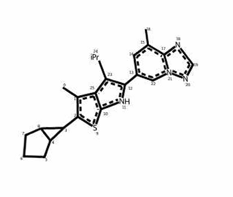 Cc1c(C2C3CCCC32)sc2[nH]c(-c3cc(C)c4ncnn4c3)c(C(C)C)c12